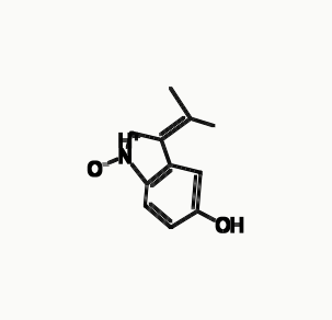 CC(C)=C1C[NH+]([O-])c2ccc(O)cc21